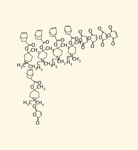 CC1(OC(=O)C2CC3C=CC2C3)CC[Si](C)(C)CC1.CC1(OC(=O)C2CC3C=CC2C3)CC[Si](C)(C)CC1.CC1(OC(=O)C2CC3C=CC2C3)CC[Si](C)(C)CC1.CC1(OC(=O)C2CC3C=CC2C3)CC[Si](C)(C)CC1.CC1(OC(=O)C2CC3C=CC2C3)CC[Si](C)(C)CC1.O=C1C=CC(=O)O1.O=C1C=CC(=O)O1.O=C1C=CC(=O)O1.O=C1C=CC(=O)O1.O=C1C=CC(=O)O1